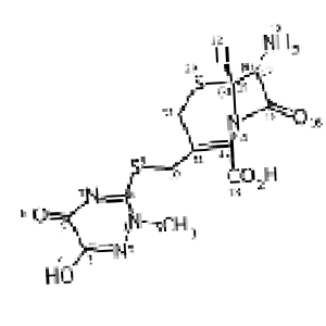 Cn1nc(O)c(=O)nc1SCC1=C(C(=O)O)N2C(=O)[C@@H](N)[C@H]2SC1